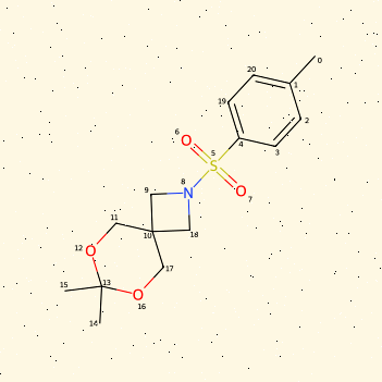 Cc1ccc(S(=O)(=O)N2CC3(COC(C)(C)OC3)C2)cc1